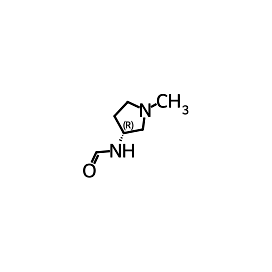 CN1CC[C@@H](NC=O)C1